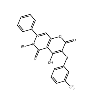 CC(C)n1c(-c2ccccc2)cc2oc(=O)c(Sc3cccc(C(F)(F)F)c3)c(O)c2c1=O